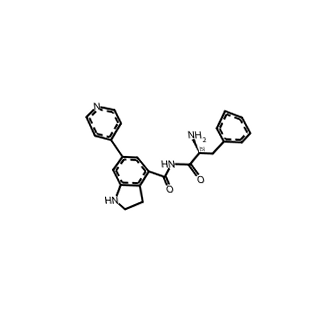 N[C@@H](Cc1ccccc1)C(=O)NC(=O)c1cc(-c2ccncc2)cc2c1CCN2